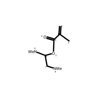 C=C(C)C(=O)OC(CNC)NC